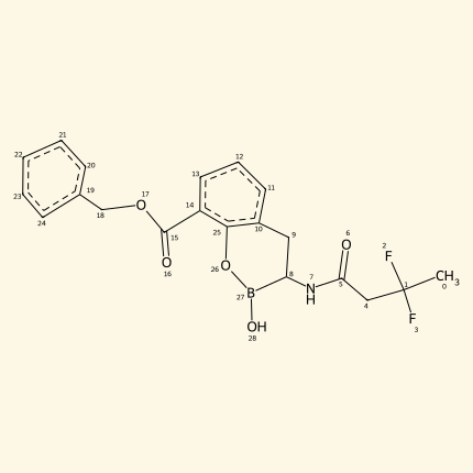 CC(F)(F)CC(=O)NC1Cc2cccc(C(=O)OCc3ccccc3)c2OB1O